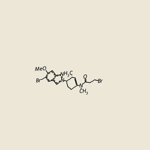 COc1cc2nn([C@@H]3CCC(N(C)C(=O)CCBr)=C[C@H]3C)cc2cc1Br